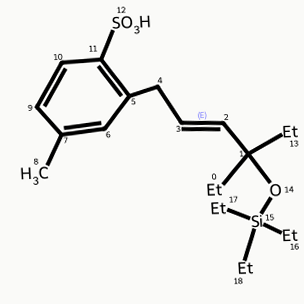 CCC(/C=C/Cc1cc(C)ccc1S(=O)(=O)O)(CC)O[Si](CC)(CC)CC